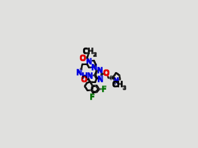 C=CC(=O)N1CCN(c2nc(OC[C@@H]3CCCN3C)nc3c2NC(=O)C2(CCCc4c(F)cc(F)cc42)C3)CC1CC#N